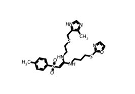 Cc1ccc(S(=O)(=O)C=C(NCCCSc2ncco2)NCCSCc2[nH]cnc2C)cc1